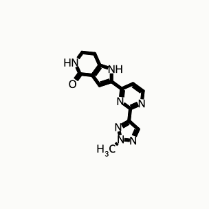 Cn1ncc(-c2nccc(-c3cc4c([nH]3)CCNC4=O)n2)n1